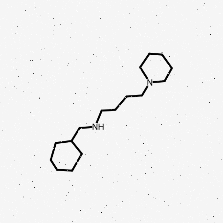 [CH]1CCN(CCCCNCC2CCCCC2)CC1